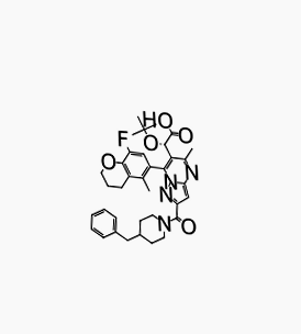 Cc1nc2cc(C(=O)N3CCC(Cc4ccccc4)CC3)nn2c(-c2cc(F)c3c(c2C)CCCO3)c1[C@H](OC(C)(C)C)C(=O)O